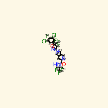 CCC(C)(NC(=O)c1cc2c(cn1)CN(C1=NOC(c3cc(Cl)c(F)c(Cl)c3)(C(F)(F)F)C1)C2)C(F)(F)F